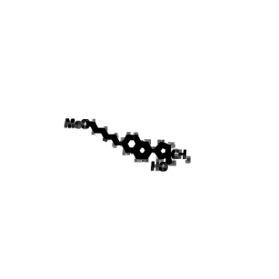 COCCCCCC[C@H]1CCc2cc([C@H]3CC[C@](C)(CO)C3)ccc2C1